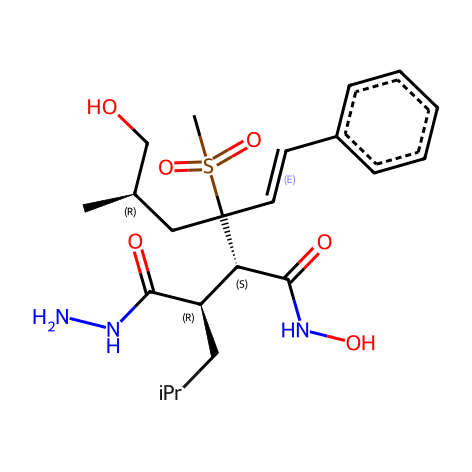 CC(C)C[C@@H](C(=O)NN)[C@@H](C(=O)NO)C(/C=C/c1ccccc1)(C[C@@H](C)CO)S(C)(=O)=O